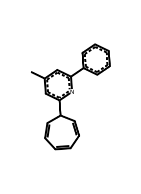 Cc1cc(-c2ccccc2)nc(C2C=CC=CC=C2)c1